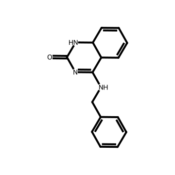 O=C1N=C(NCc2ccccc2)C2C=CC=CC2N1